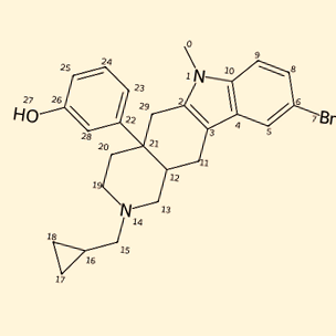 Cn1c2c(c3cc(Br)ccc31)CC1CN(CC3CC3)CCC1(c1cccc(O)c1)C2